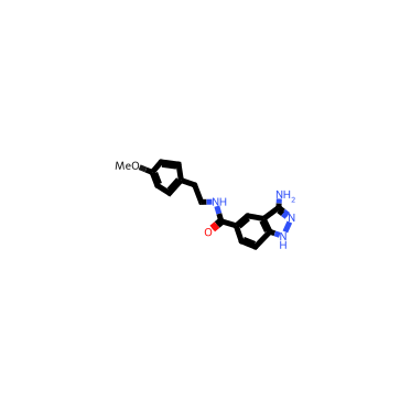 COc1ccc(CCNC(=O)c2ccc3[nH]nc(N)c3c2)cc1